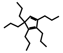 CCCC1=[C]C(CCC)(CCC)C(CCC)=C1CCC